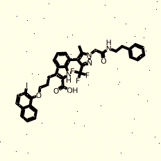 Cc1c(-c2cccc3c(CCCOc4c(I)ccc5ccccc45)c(C(=O)O)[nH]c23)c(C(F)(F)F)nn1CC(=O)NCCc1ccccc1